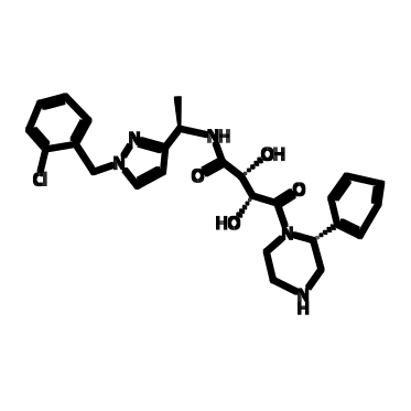 C[C@@H](NC(=O)[C@H](O)[C@@H](O)C(=O)N1CCNC[C@H]1c1ccccc1)c1ccn(Cc2ccccc2Cl)n1